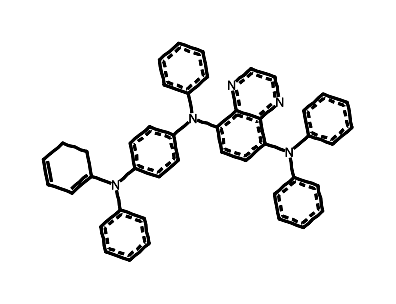 C1=CCCC(N(c2ccccc2)c2ccc(N(c3ccccc3)c3ccc(N(c4ccccc4)c4ccccc4)c4nccnc34)cc2)=C1